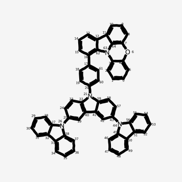 c1ccc2c(c1)Oc1cccc3c4cccc(-c5ccc(-n6c7ccc(-n8c9ccccc9c9ccccc98)cc7c7cc(-n8c9ccccc9c9ccccc98)ccc76)cc5)c4n-2c13